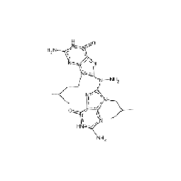 CC(C)CCn1c(N(N)c2nc3c(=O)[nH]c(N)nc3n2CC(C)C)nc2c(=O)[nH]c(N)nc21